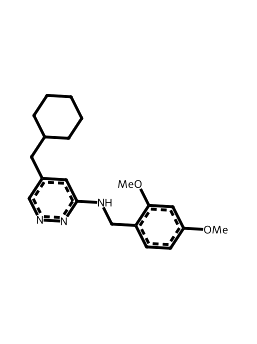 COc1ccc(CNc2cc(CC3CCCCC3)cnn2)c(OC)c1